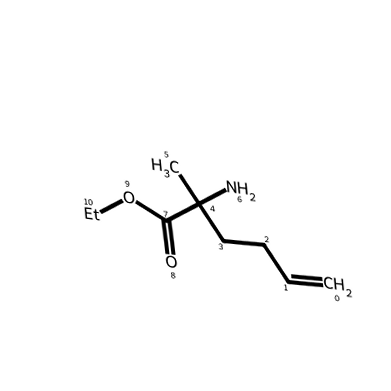 C=CCCC(C)(N)C(=O)OCC